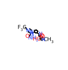 CN1CC[C@@](O)(c2cc(-c3cccc(-c4nc(C(N)=O)c5n4CCN(CCC(F)(F)F)C5)c3)no2)C1=O